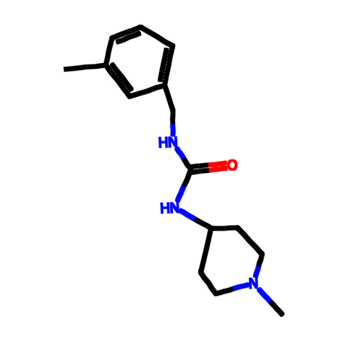 Cc1cccc(CNC(=O)NC2CCN(C)CC2)c1